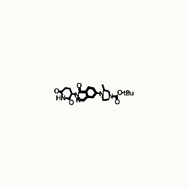 CC1CN(C(=O)OC(C)(C)C)CCN1c1ccc2c(=O)n(C3CCC(=O)NC3=O)ncc2c1